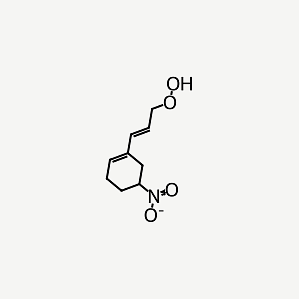 O=[N+]([O-])C1CCC=C(/C=C/COO)C1